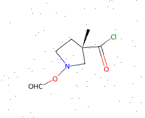 C[C@]1(C(=O)Cl)CCN(OC=O)C1